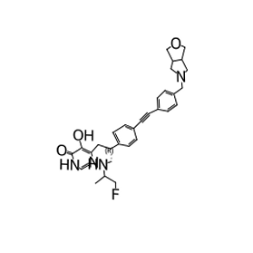 CC(CF)NC[C@H](Cc1nc[nH]c(=O)c1O)c1ccc(C#Cc2ccc(CN3CC4COCC4C3)cc2)cc1